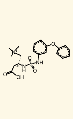 C[N+](C)(C)C[C@@H](CC(=O)O)NS(=O)(=O)Nc1cccc(Oc2ccccc2)c1